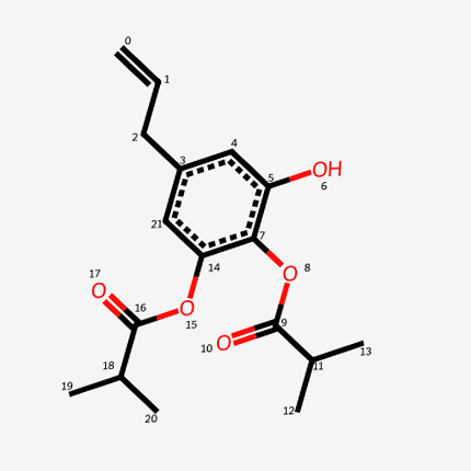 C=CCc1cc(O)c(OC(=O)C(C)C)c(OC(=O)C(C)C)c1